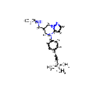 C[Si](C)(C)C#Cc1ccc(N2CC(CNC(=O)O)Cn3nccc32)cc1